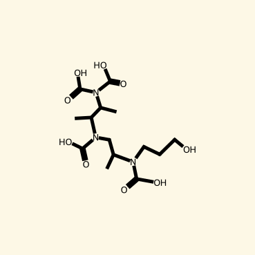 CC(CN(C(=O)O)C(C)C(C)N(C(=O)O)C(=O)O)N(CCCO)C(=O)O